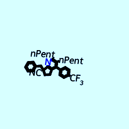 CCCCCc1nc2c(c(-c3ccc(C(F)(F)F)cc3)c1CCCCC)CC[C@@]2(C#N)Cc1ccccc1